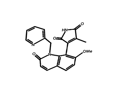 COc1ccc2ccc(=O)n(Cc3ccccn3)c2c1C1=C(C)C(=O)NC1=O